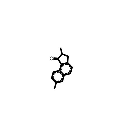 Cc1ccc2c3c(ccc2c1)CC(C)C3=O